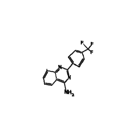 Nc1nc(-c2ccc(C(F)(F)F)cc2)nc2[c]cccc12